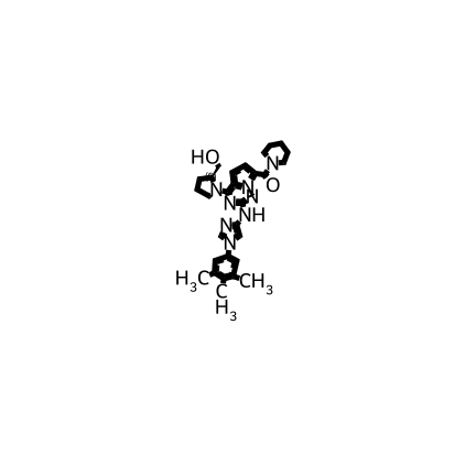 Cc1cc(-n2cnc(Nc3nc(N4CCC[C@H]4CO)c4ccc(C(=O)N5CCCCC5)n4n3)c2)cc(C)c1C